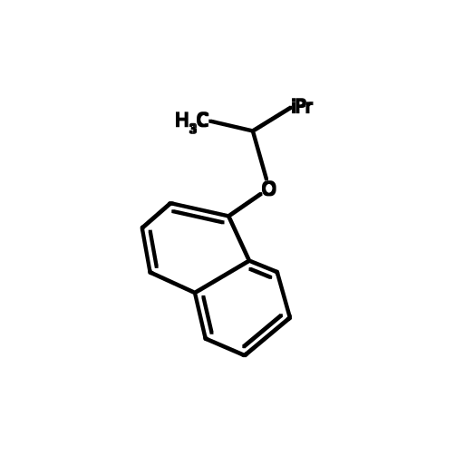 CC(C)C(C)Oc1cccc2ccccc12